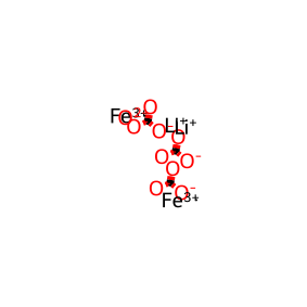 O=C([O-])[O-].O=C([O-])[O-].O=C([O-])[O-].[Fe+3].[Fe+3].[Li+].[Li+].[O-2]